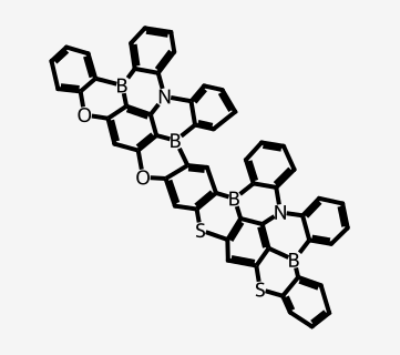 c1ccc2c(c1)Oc1cc3c4c5c1B2c1ccccc1N5c1ccccc1B4c1cc2c(cc1O3)Sc1cc3c4c5c1B2c1ccccc1N5c1ccccc1B4c1ccccc1S3